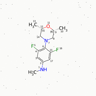 CNc1cc(F)c(N2C[C@@H](C)O[C@@H](C)C2)c(F)c1